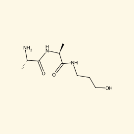 C[C@H](N)C(=O)N[C@@H](C)C(=O)NCCCO